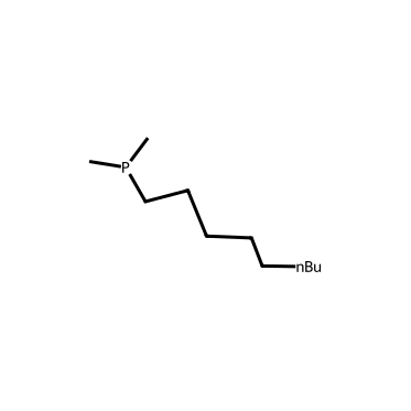 CCCCCCCCCP(C)C